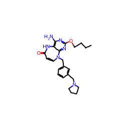 CCCCOc1nc(N)c2c(n1)N(Cc1cccc(CN3CCCC3)c1)C=CC(=O)N2